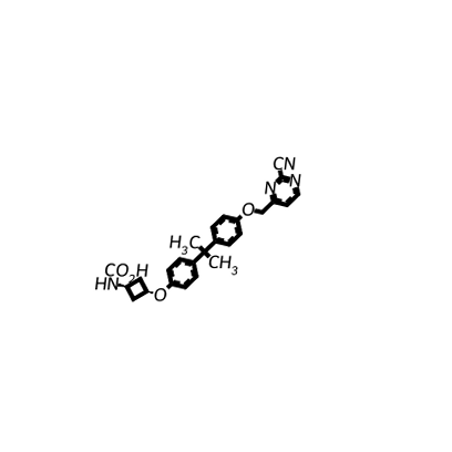 CC(C)(c1ccc(OCc2ccnc(C#N)n2)cc1)c1ccc(O[C@H]2C[C@H](NC(=O)O)C2)cc1